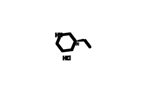 CC[C@@H]1CCCNC1.Cl